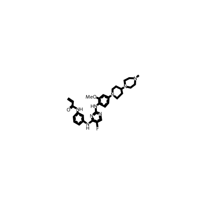 C=CC(=O)Nc1cccc(Nc2nc(Nc3ccc(N4CCC(N5CCN(C)CC5)CC4)cc3OC)ncc2F)c1